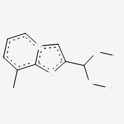 CCOC(OCC)c1cn2cccc(C)c2n1